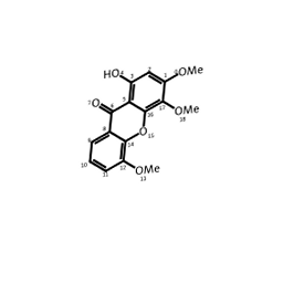 COc1cc(O)c2c(=O)c3cccc(OC)c3oc2c1OC